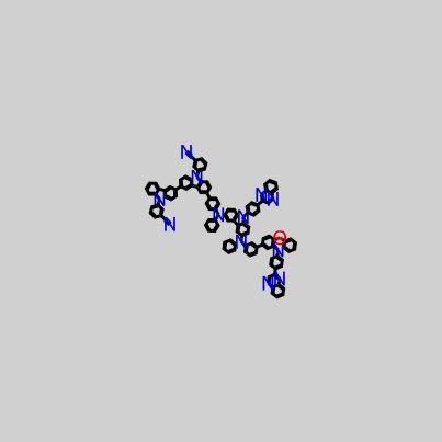 N#Cc1cccc(-n2c3ccccc3c3cc(-c4ccc5c(c4)c4cc(-c6ccc(N(c7ccccc7)c7ccc8c(c7)c7cc(N(c9ccccc9)c9cccc(-c%10ccc%11c(c%10)N(c%10ccc(-c%12cnc%13ccccc%13n%12)cc%10)c%10ccccc%10O%11)c9)ccc7n8-c7ccc(-c8cnc9ccccc9n8)cc7)cc6)ccc4n5-c4cccc(C#N)c4)ccc32)c1